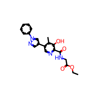 CCOC(=O)CNC(=O)c1ncc(-c2cnn(-c3ccccc3)c2)c(C)c1O